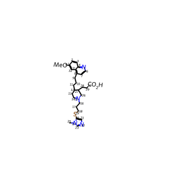 COc1ccc2nccc(CCCC3CCN(CCCSc4cncn4C)CC3CCC(=O)O)c2c1